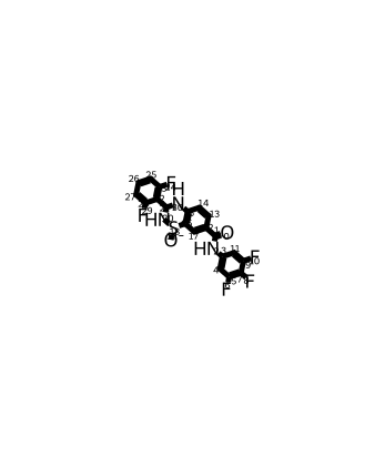 O=C(Nc1cc(F)c(F)c(F)c1)c1ccc2c(c1)[S+]([O-])NC(c1c(F)cccc1F)N2